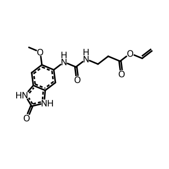 C=COC(=O)CCNC(=O)Nc1cc2[nH]c(=O)[nH]c2cc1OC